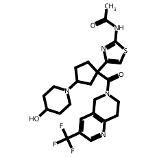 CC(=O)Nc1nc(C2(C(=O)N3CCc4ncc(C(F)(F)F)cc4C3)CCC(N3CCC(O)CC3)C2)cs1